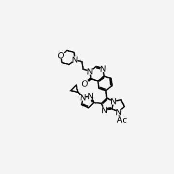 CC(=O)N1CCn2c1nc(-c1ccn(C3CC3)n1)c2-c1ccc2ncn(CCN3CCOCC3)c(=O)c2c1